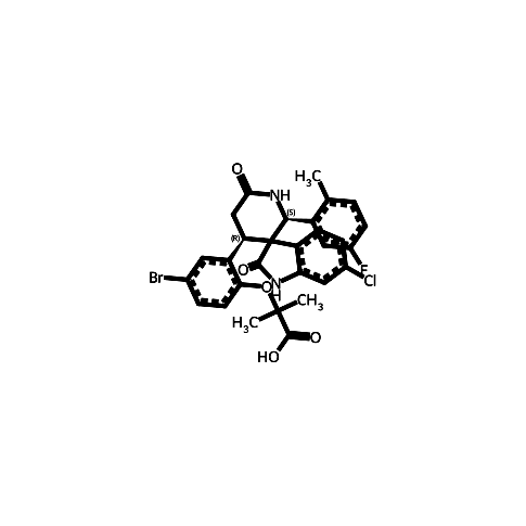 Cc1ccc(F)cc1[C@@H]1NC(=O)C[C@H](c2cc(Br)ccc2OC(C)(C)C(=O)O)C12C(=O)Nc1cc(Cl)ccc12